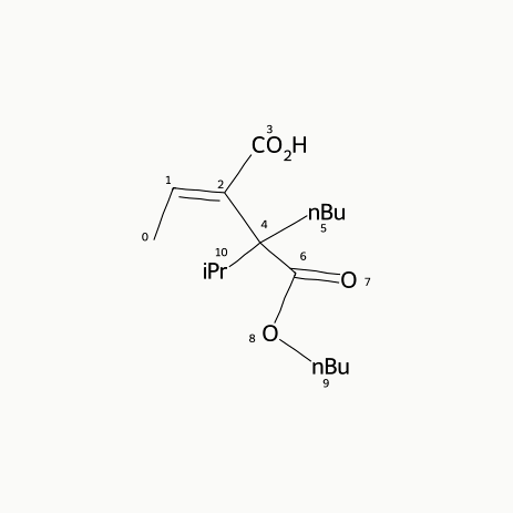 CC=C(C(=O)O)C(CCCC)(C(=O)OCCCC)C(C)C